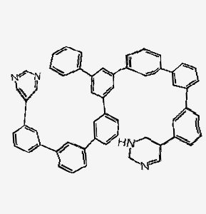 C1=NCNCC1c1cccc(-c2cccc(-c3cccc(-c4cc(-c5ccccc5)cc(-c5cccc(-c6cccc(-c7cccc(-c8cncnc8)c7)c6)c5)c4)c3)c2)c1